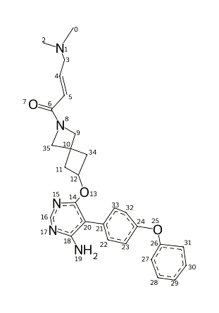 CN(C)C/C=C/C(=O)N1CC2(CC(Oc3ncnc(N)c3-c3ccc(Oc4ccccc4)cc3)C2)C1